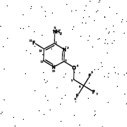 Nc1nc(OCC(F)(F)F)ncc1F